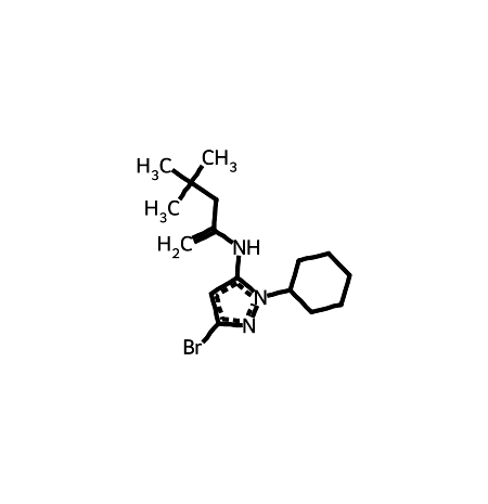 C=C(CC(C)(C)C)Nc1cc(Br)nn1C1CCCCC1